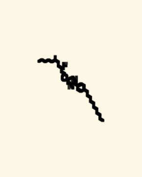 CCCCCCCCCCCc1ccc(-c2ncc(OCCC(F)CCC(C)CCCCC)cn2)cc1